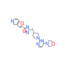 c1cc2oc(-c3nc(CC4CCN(c5nccc(N6CCOCC6)n5)CC4)no3)cc2cn1